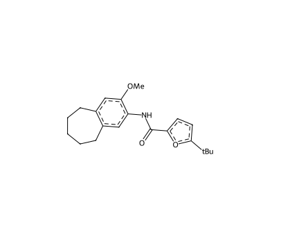 COc1cc2c(cc1NC(=O)c1ccc(C(C)(C)C)o1)CCCCC2